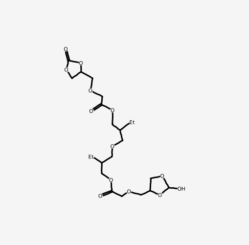 CCC(COCC(CC)COC(=O)COCC1COC(O)O1)COC(=O)COCC1COC(=O)O1